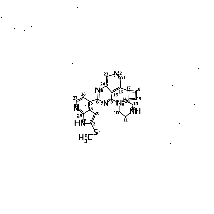 CSc1cc2c(-c3nc(N4CCNCC4)c4c(C5=CC=C5)cncc4n3)ccnc2[nH]1